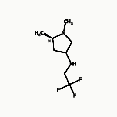 C[C@@H]1CC(NCC(F)(F)F)CN1C